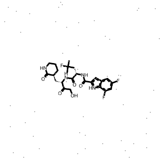 CC(C)(F)C[C@H](NC(=O)c1cc2cc(F)cc(F)c2[nH]1)C(=O)N[C@@H](C[C@@H]1CCCNC1=O)C(=O)CO